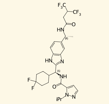 CC(C)n1nccc1C(=O)N[C@H](c1nc2cc([C@@H](C)NC(=O)CC(C(F)(F)F)C(F)(F)F)ccc2[nH]1)C1CCC(F)(F)CC1